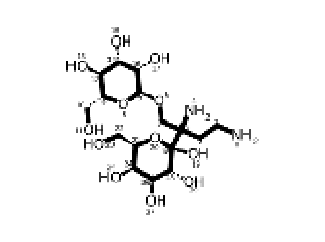 NCCC(N)(CO[C@H]1O[C@H](CO)[C@@H](O)[C@H](O)[C@@H]1O)[C@@]1(O)O[C@H](CO)[C@H](O)[C@H](O)[C@H]1O